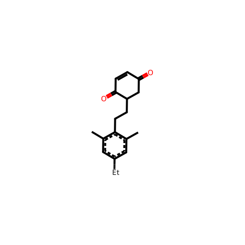 CCc1cc(C)c(CCC2CC(=O)C=CC2=O)c(C)c1